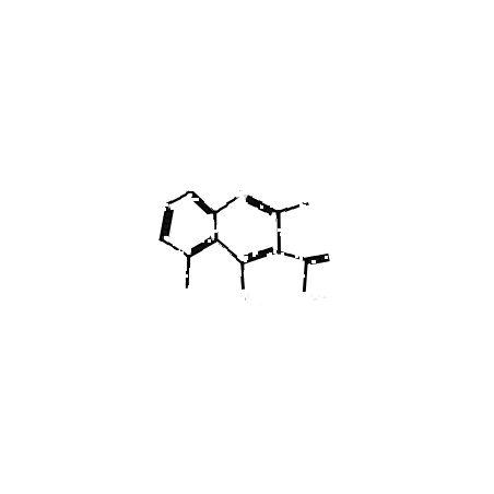 COC(=O)c1c(C)nc2cccc(C)c2c1N